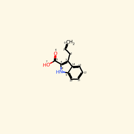 C=CCc1c(C(=O)O)[nH]c2ccccc12